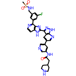 CS(=O)(=O)NCc1cc(F)cc(-c2nccc3[nH]c(-c4n[nH]c5ncc(-c6cncc(NC(=O)CC7CCNCC7)c6)cc45)nc23)c1